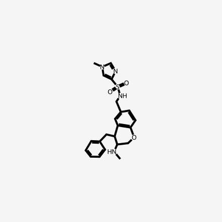 CNC1COc2ccc(CNS(=O)(=O)c3cn(C)cn3)cc2C1Cc1ccccc1